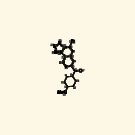 CCc1cc2cc(C(=O)C3CCC(OC)CC3)ccc2n2nnnc12